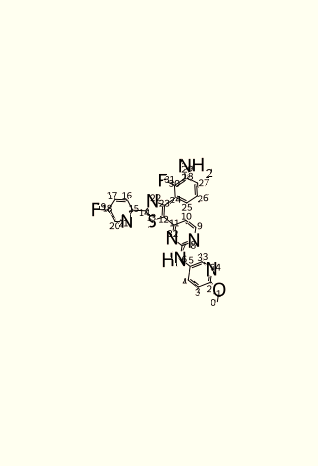 COc1ccc(Nc2nccc(-c3sc(-c4ccc(F)cn4)nc3-c3cccc(N)c3F)n2)cn1